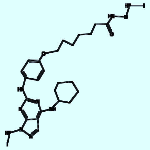 O=C(CCCCCCOc1ccc(Nc2nc(NC3CCCCC3)c3cnn(PI)c3n2)cc1)NOPI